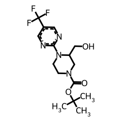 CC(C)(C)OC(=O)N1CCN(c2ncc(C(F)(F)F)cn2)C(CO)C1